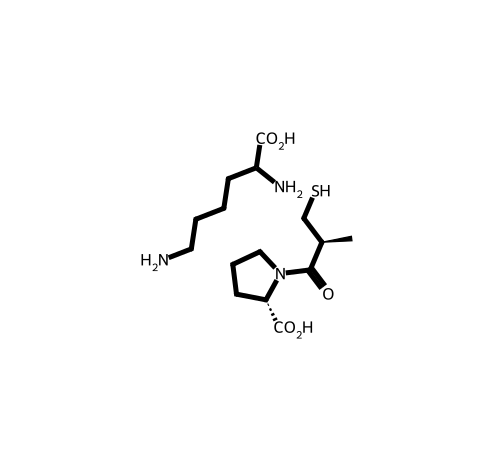 C[C@H](CS)C(=O)N1CCC[C@H]1C(=O)O.NCCCCC(N)C(=O)O